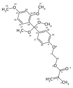 C=C(C)C(=O)OCCOc1ccc(C(OC)(OC)c2ccc(OC)cc2OC)cc1